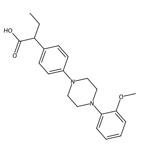 CCC(C(=O)O)c1ccc(N2CCN(c3ccccc3OC)CC2)cc1